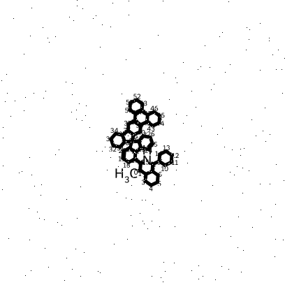 CC1C2CCCCC2C(C2CCCCC2)NC1C1CC=CC2C1C1C=CCCC1C21C2CCCCC2C2CC3=C(CC21)C1CCCCC1C1=C3CCCC1